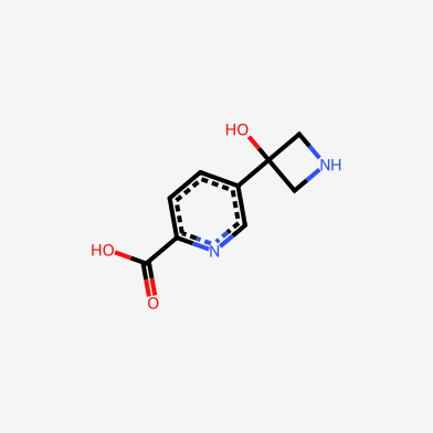 O=C(O)c1ccc(C2(O)CNC2)cn1